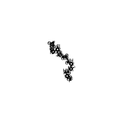 Cc1ccc(NC(=O)C2(c3ccc4c(c3)OC(F)(F)O4)CC2)nc1-c1cccc(C(=O)NCCS(=O)(=O)CC(=O)N2C[C@H](C)N(Cc3c(C)cc(Cl)cc3-c3ccnc4cc(CN5C(=O)C6CC6C5=O)sc34)[C@@H](C)C2)c1